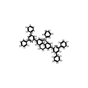 c1ccc(-c2cc(-c3ccccc3)nc(-c3cc4c5c6c(cc(-c7cc(-c8ccccc8)cc(-c8ccccc8)n7)cc6n(-c6ccccc6)c5c3)CC4)c2)cc1